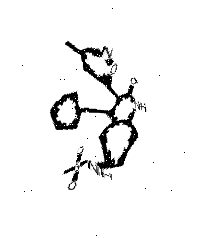 Cc1cc(-c2c(-c3ccccc3)c3cc(NS(C)(=O)=O)ccc3[nH]c2=O)on1